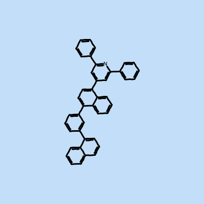 c1ccc(-c2cc(-c3ccc(-c4cccc(-c5cccc6ccccc56)c4)c4ccccc34)cc(-c3ccccc3)n2)cc1